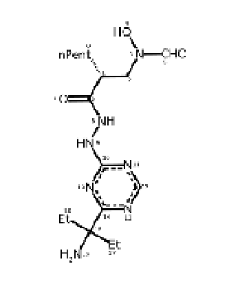 CCCCC[C@H](CN(O)C=O)C(=O)NNc1ncnc(C(N)(CC)CC)n1